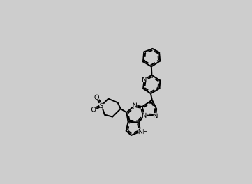 O=S1(=O)CCC(c2nc3c(-c4ccc(-c5ccccc5)nc4)cnn3c3[nH]ccc23)CC1